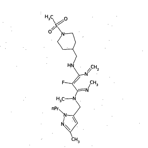 C=N/C(NCC1CCN(S(C)(=O)=O)CC1)=C(F)\C(=N/C)N(C)Cc1cc(C)nn1CCC